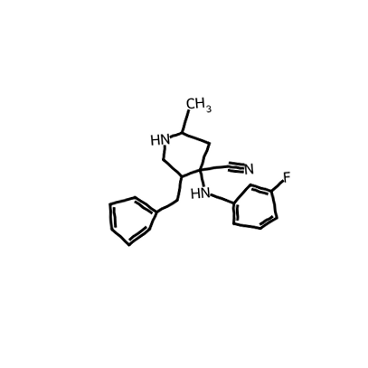 CC1CC(C#N)(Nc2cccc(F)c2)C(Cc2ccccc2)CN1